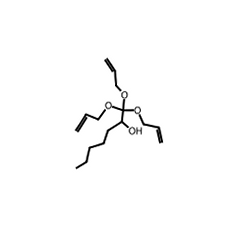 C=CCOC(OCC=C)(OCC=C)C(O)CCCCC